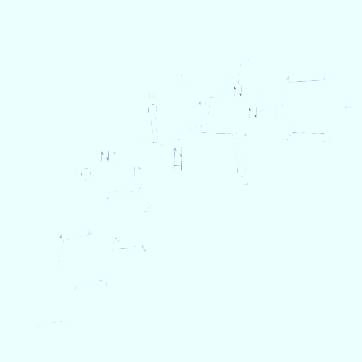 CCC1CCC(c2onc(C(=O)Nc3c(C)n(C)n(C4CCCCC4)c3=O)c2C)=C(C)C1